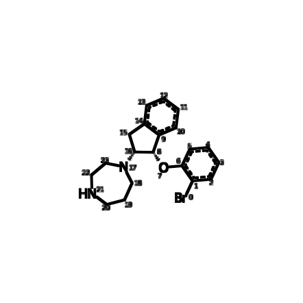 Brc1ccccc1O[C@H]1c2ccccc2C[C@H]1N1CCCNCC1